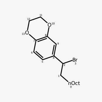 CCCCCCCCCC(Br)c1ccc2c(c1)OCCO2